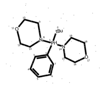 CC(C)(C)[PH](c1ccccc1)(N1CCOCC1)N1CCOCC1